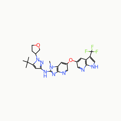 Cn1c(Nc2cc(C(C)(C)C)n(C3CCOC3)n2)nc2ncc(Oc3cnc4[nH]cc(C(F)(F)F)c4c3)cc21